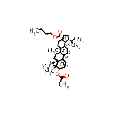 C=C(C)[C@@H]1CC[C@]2(C(=O)OCCCC)CC[C@]3(C)[C@H](CC[C@@H]4[C@@]5(C)CC[C@H](OC(C)=O)C(C)(C)[C@@H]5CC[C@]43C)[C@@H]12